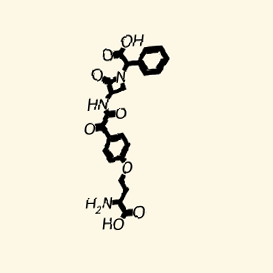 NC(CCOc1ccc(C(=O)C(=O)NC2CN(C(C(=O)O)c3ccccc3)C2=O)cc1)C(=O)O